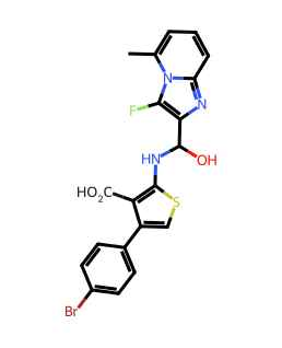 Cc1cccc2nc(C(O)Nc3scc(-c4ccc(Br)cc4)c3C(=O)O)c(F)n12